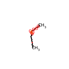 CCCCCCCCCCCCC#COOS(=O)(=O)CCOCCOCCOCC